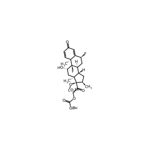 CCOC(=O)O[C@]1(C(=O)COC(=O)OCC(C)C)[C@H](C)C[C@H]2[C@@H]3C[C@H](F)C4=CC(=O)C=C[C@]4(C)[C@@]3(F)[C@@H](O)C[C@@]21C